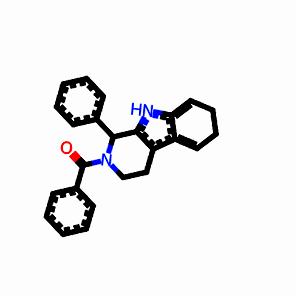 O=C(c1ccccc1)N1CCc2c([nH]c3c2=CCCC=3)C1c1ccccc1